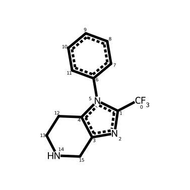 FC(F)(F)c1nc2c(n1-c1ccccc1)CCNC2